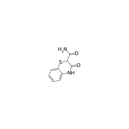 NC(=O)C1Sc2cc[c]cc2NC1=O